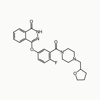 O=C(c1cc(Oc2n[nH]c(=O)c3ccccc23)ccc1F)N1CCN(CC2CCCO2)CC1